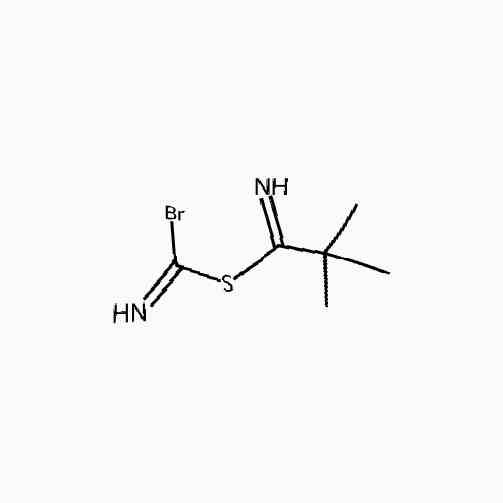 CC(C)(C)C(=N)SC(=N)Br